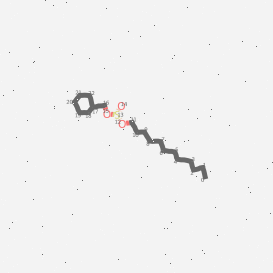 CCCCCCCCCCCCOS(=O)OCC1CCCCC1